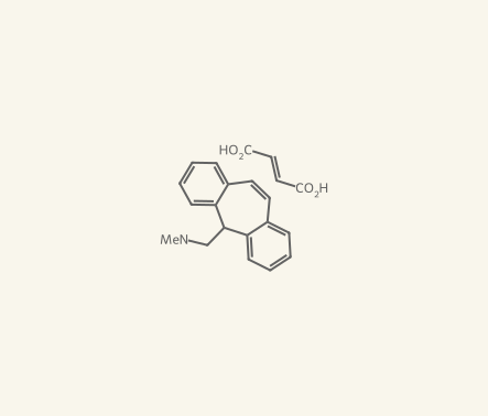 CNCC1c2ccccc2C=Cc2ccccc21.O=C(O)C=CC(=O)O